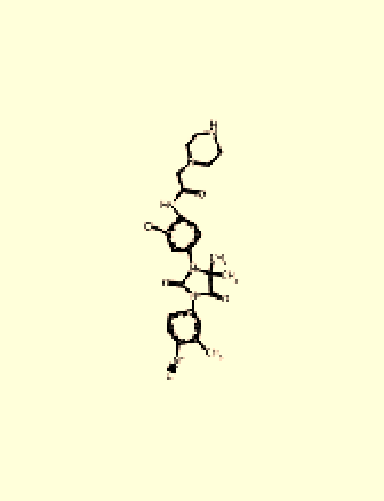 [C-]#[N+]c1ccc(N2C(=O)N(c3ccc(NC(=O)CN4CCNCC4)c(Cl)c3)C(C)(C)C2=O)cc1C